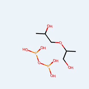 CC(O)COC(C)CO.OP(O)OP(O)O